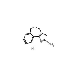 I.Nc1nc2c(s1)CCCc1ccccc1-2